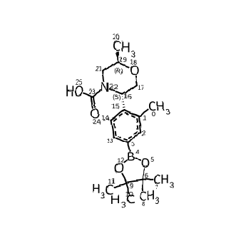 Cc1cc(B2OC(C)(C)C(C)(C)O2)ccc1[C@H]1CO[C@H](C)CN1C(=O)O